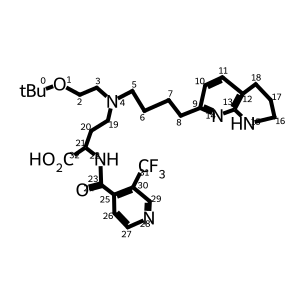 CC(C)(C)OCCN(CCCCc1ccc2c(n1)NCCC2)CCC(NC(=O)c1ccncc1C(F)(F)F)C(=O)O